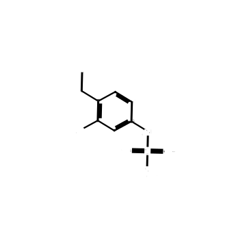 CCc1ccc(NS(N)(=O)=O)cc1F